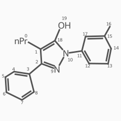 CCCc1c(-c2ccccc2)nn(-c2cccc(C)c2)c1O